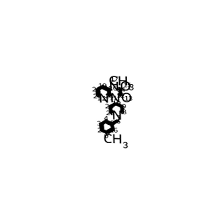 Cc1cccc(CN2CCC(n3c(=O)c(=O)n(C)c4cccnc43)CC2)c1